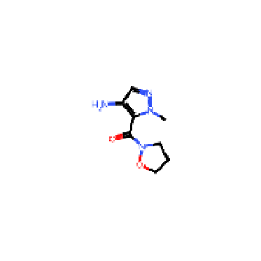 Cn1ncc(N)c1C(=O)N1CCCO1